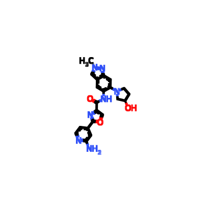 Cn1cc2cc(NC(=O)c3coc(-c4ccnc(N)c4)n3)c(N3CC[C@@H](O)C3)cc2n1